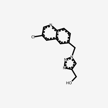 OCc1cn(Cc2ccc3ncc(Cl)cc3c2)nn1